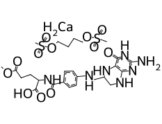 COC(=O)CCC(NC(=O)c1ccc(NCC2CNc3nc(N)[nH]c(=O)c3N2)cc1)C(=O)O.CS(=O)(=O)OCCCCOS(C)(=O)=O.[CaH2]